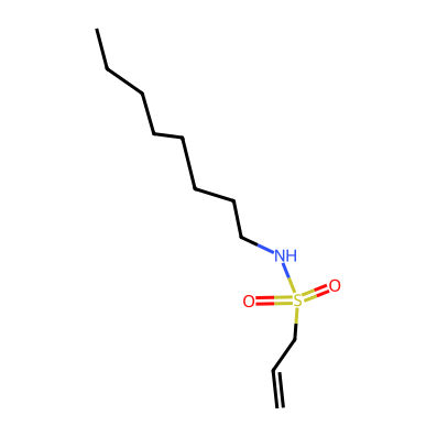 C=CCS(=O)(=O)NCCCCCCCC